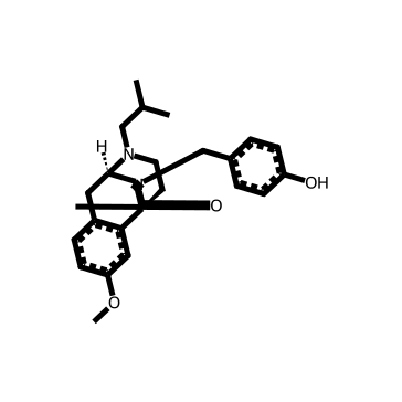 COc1ccc2c(c1)[C@]13CCN(CC(C)C)[C@H](C2)C1=CN(Cc1ccc(O)cc1)C(=O)C3